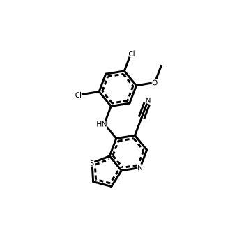 COc1cc(Nc2c(C#N)cnc3ccsc23)c(Cl)cc1Cl